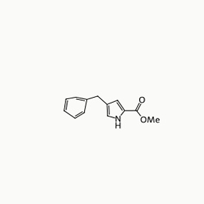 COC(=O)c1cc(Cc2ccccc2)c[nH]1